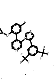 Fc1ccc(OC2CC2)c(-c2ccncc2-n2cncc2-c2cc(C(F)(F)F)cc(C(F)(F)F)c2)c1